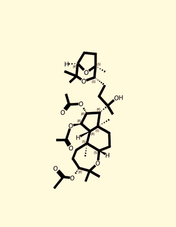 CC(=O)O[C@H]1[C@H](OC(C)=O)[C@H](C(C)(O)CC[C@@H]2OC(C)(C)[C@H]3CC[C@]2(C)O3)[C@@]2(C)CC[C@@H]3OC(C)(C)[C@H](OC(C)=O)CC[C@@]3(C)[C@H]12